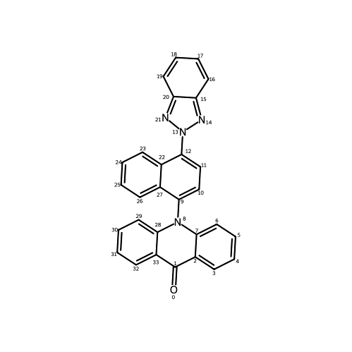 O=c1c2ccccc2n(-c2ccc(-n3nc4ccccc4n3)c3ccccc23)c2ccccc12